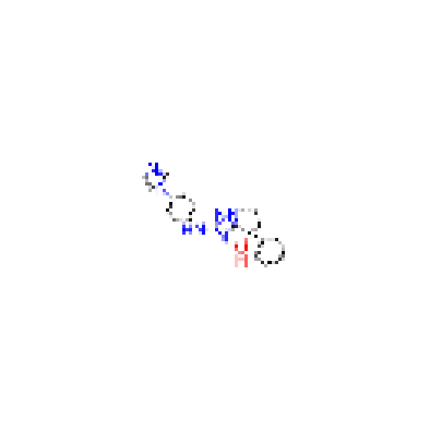 OC1(c2ccccc2)CCCn2nc(Nc3ccc(-n4ccnc4)cc3)nc21